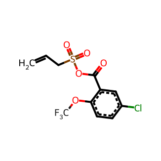 C=CCS(=O)(=O)OC(=O)c1cc(Cl)ccc1OC(F)(F)F